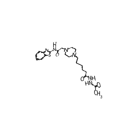 CC(=O)NNC(=O)CCCCCN1CCN(CC(=O)Nc2nc3ccccc3s2)CC1